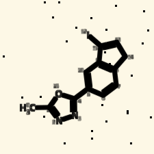 Cc1nnc(-c2ccc3c(c2)C(I)=CC3)o1